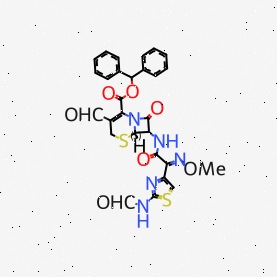 CON=C(C(=O)NC1C(=O)N2C(C(=O)OC(c3ccccc3)c3ccccc3)=C(C=O)CS[C@@H]12)c1csc(NC=O)n1